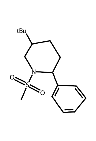 CC(C)(C)C1CCC(c2ccccc2)N(S(C)(=O)=O)C1